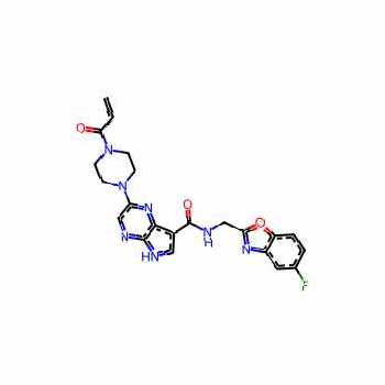 C=CC(=O)N1CCN(c2cnc3[nH]cc(C(=O)NCc4nc5cc(F)ccc5o4)c3n2)CC1